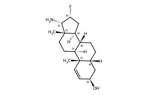 C[C@]12C=C[C@H](O)C[C@H]1CC[C@@H]1[C@@H]2CC[C@]2(C)[C@H](N)[C@H](F)C[C@@H]12